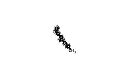 CCc1cnc(N2CCC(COc3ccc(C4=CCC(C(=O)N5CCOCC5)CC4)cc3C(F)(F)F)CC2)nc1